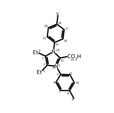 CCc1c(CC)[n+](-c2ccc(C)cc2)c(C(=O)O)n1-c1ccc(C)cc1